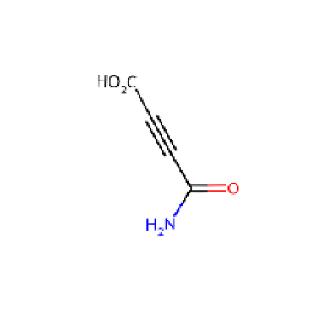 NC(=O)C#CC(=O)O